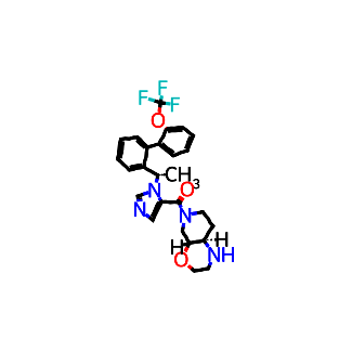 C[C@@H](c1ccccc1-c1ccccc1OC(F)(F)F)n1cncc1C(=O)N1CC[C@H]2NCCO[C@@H]2C1